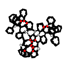 c1ccc(-c2ccc3c4ccccc4n(-c4ccc5c(c4)N(c4c(-c6cccc7c6oc6ccccc67)cccc4-c4cccc6c4oc4ccccc46)c4cc(-c6ccc7ccccc7c6)cc6c4B5c4ccc(-n5c7ccccc7c7ccc(-c8ccccc8)cc75)cc4N6c4c(-c5cccc6c5oc5ccccc56)cccc4-c4cccc5c4oc4ccccc45)c3c2)cc1